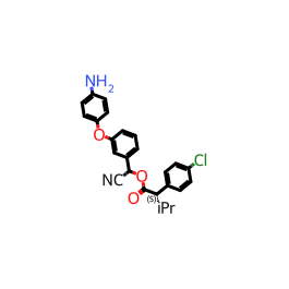 CC(C)[C@H](C(=O)OC(C#N)c1cccc(Oc2ccc(N)cc2)c1)c1ccc(Cl)cc1